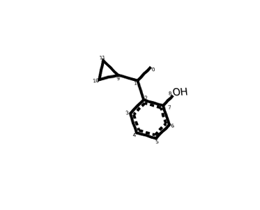 CC(c1ccccc1O)C1CC1